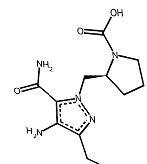 CCc1nn(C[C@@H]2CCCN2C(=O)O)c(C(N)=O)c1N